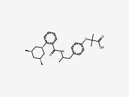 CC(Cc1ccc(OC(C)(C)C(=O)O)cc1)NC(=O)c1ccccc1N1C[C@H](C)C[C@H](C)C1